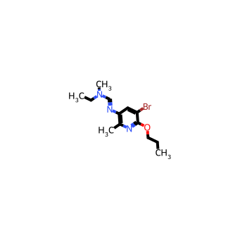 CCCOc1nc(C)c(N=CN(C)CC)cc1Br